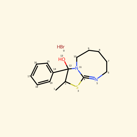 Br.CC1S/C2=N/CCCCCN2C1(O)c1ccccc1